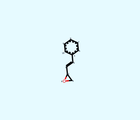 C(=CC1CO1)c1ccccc1